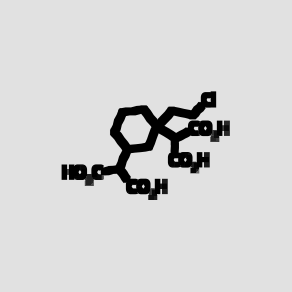 O=C(O)C(C(=O)O)C1CCCC(CCCl)(C(C(=O)O)C(=O)O)C1